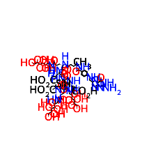 C[C@H](CCC(=O)N[C@@H](CCC(=O)NC[C@H](O)[C@@H](O)[C@H](O)[C@H](O)CO)C(=O)N[C@H](CCC(=O)O)C(=O)N[C@@H](CCC(=O)NC[C@H](O)[C@@H](O)[C@H](O)[C@H](O)CO)C(=O)N[C@H](CCC(=O)O)C(=O)N[C@@H](CCC(=O)NC[C@H](O)[C@@H](O)[C@H](O)[C@H](O)CO)C(=O)N[C@H](C[SiH3])C(=O)O)NC(=O)c1ccc(NCc2cnc3nc(N)[nH]c(=O)c3n2)cc1